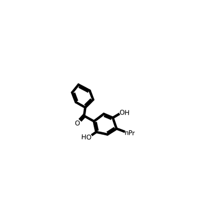 CCCc1cc(O)c(C(=O)c2ccccc2)cc1O